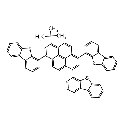 CC(C)(C)c1cc(-c2cccc3c2sc2ccccc23)c2ccc3c(-c4cccc5c4sc4ccccc45)cc(-c4cccc5c4sc4ccccc45)c4ccc1c2c34